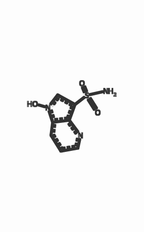 NS(=O)(=O)c1cn(O)c2cccnc12